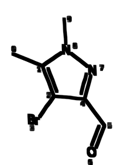 Cc1c(Br)c(C=O)nn1C